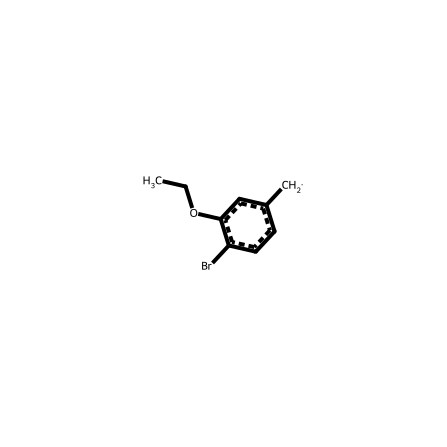 [CH2]c1ccc(Br)c(OCC)c1